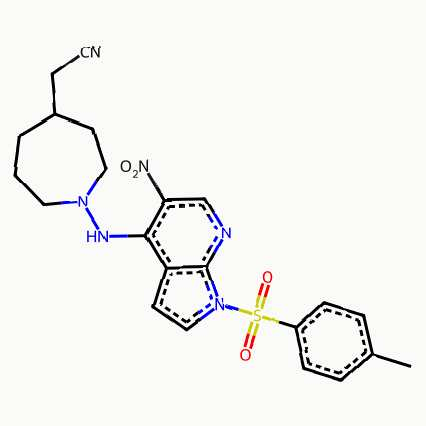 Cc1ccc(S(=O)(=O)n2ccc3c(NN4CCCC(CC#N)CC4)c([N+](=O)[O-])cnc32)cc1